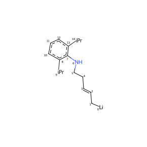 [Li][CH2]C=CCCNc1c(C(C)C)cccc1C(C)C